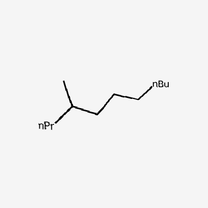 CCCCCCCC(C)CCC